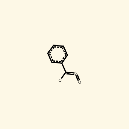 [O]C(=S=O)c1ccccc1